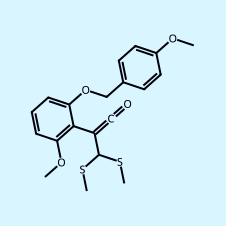 COc1ccc(COc2cccc(OC)c2C(=C=O)C(SC)SC)cc1